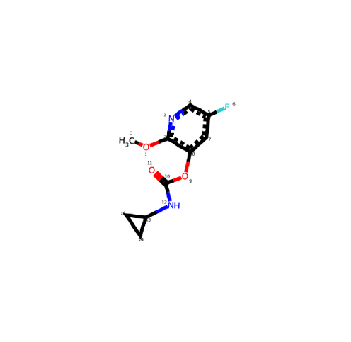 COc1ncc(F)cc1OC(=O)NC1CC1